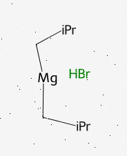 Br.CC(C)[CH2][Mg][CH2]C(C)C